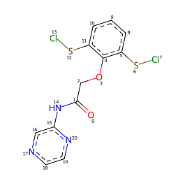 O=C(COc1c(SCl)cccc1SCl)Nc1cnccn1